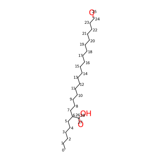 CCCCCCC(CCCCCCCCCCCCCCCCCC=O)C(=O)O